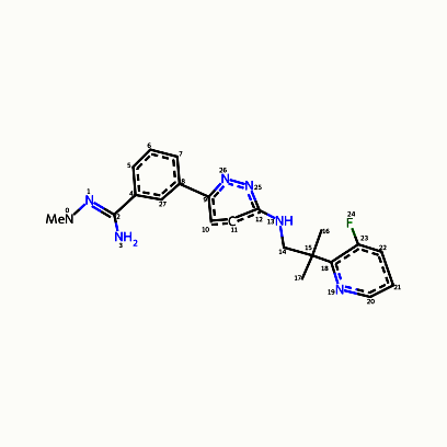 CN/N=C(\N)c1cccc(-c2ccc(NCC(C)(C)c3ncccc3F)nn2)c1